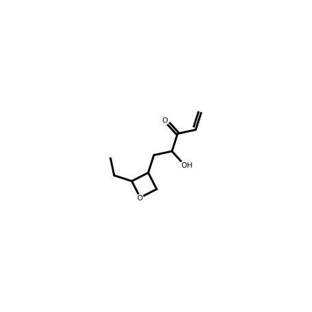 C=CC(=O)C(O)CC1COC1CC